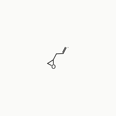 [CH]=CCC1CO1